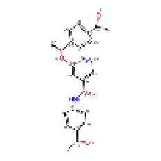 CC(=O)c1ccc(NC(=O)c2cncc(O[C@@H](C)c3ccc(C(C)=O)cc3)c2)cc1